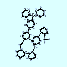 CC1(C)c2ccccc2-c2cc3c(cc21)Sc1ccccc1-c1ccccc1/C=C\c1ccc(-c2ccc4c(c2)c2cccnc2n4-c2ccccn2)cc1-3